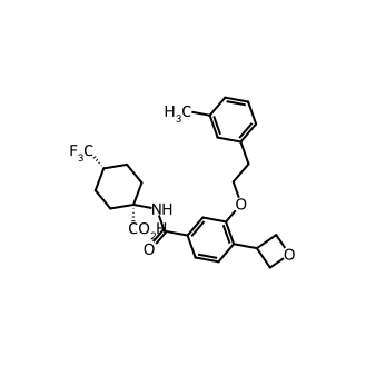 Cc1cccc(CCOc2cc(C(=O)N[C@]3(C(=O)O)CC[C@@H](C(F)(F)F)CC3)ccc2C2COC2)c1